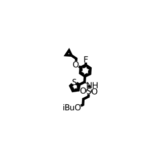 CC(C)COCCCS(=O)(=O)N[C@@H](c1ccc(F)c(OCC2CC2)c1)c1cccs1